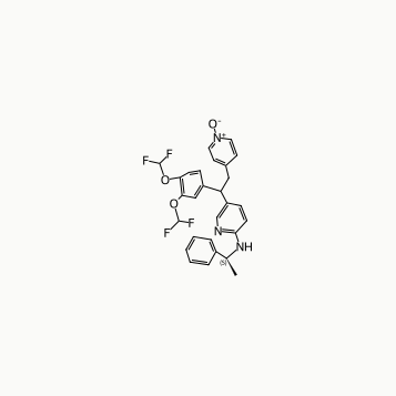 C[C@H](Nc1ccc(C(Cc2cc[n+]([O-])cc2)c2ccc(OC(F)F)c(OC(F)F)c2)cn1)c1ccccc1